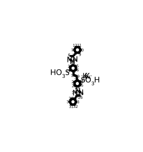 O=S(=O)(O)c1cc(-n2ncc(-c3ccccc3)n2)ccc1C=Cc1ccc(-n2ncc(-c3ccccc3)n2)cc1S(=O)(=O)O.[K].[K]